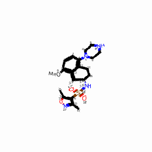 COc1ccc(N2CCNCC2)c2c1C[C@@H](NS(=O)(=O)c1c(C)noc1C)CC2